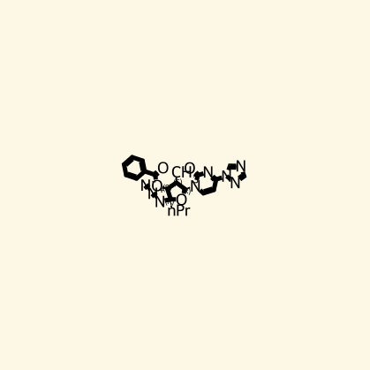 CCC[C@@]1(N=[N+]=[N-])O[C@@H](n2ccc(-n3cncn3)nc2=O)[C@@H](C)[C@@H]1OC(=O)c1ccccc1